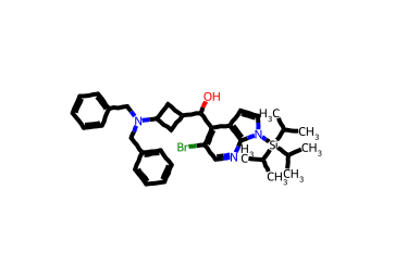 CC(C)[Si](C(C)C)(C(C)C)n1ccc2c(C(O)C3CC(N(Cc4ccccc4)Cc4ccccc4)C3)c(Br)cnc21